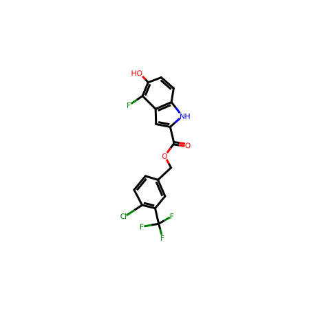 O=C(OCc1ccc(Cl)c(C(F)(F)F)c1)c1cc2c(F)c(O)ccc2[nH]1